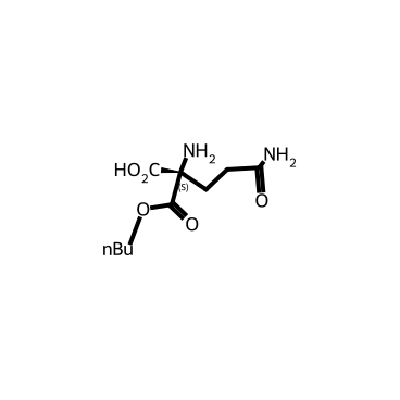 CCCCOC(=O)[C@](N)(CCC(N)=O)C(=O)O